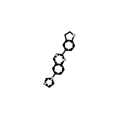 c1cn(-c2ccc3nc(-c4ccc5c(c4)CCO5)ncc3c2)cn1